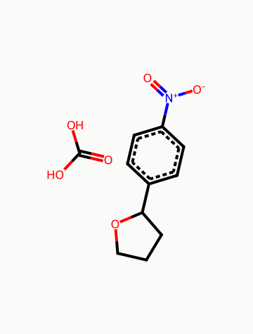 O=C(O)O.O=[N+]([O-])c1ccc(C2CCCO2)cc1